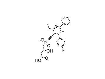 CCc1nc(-c2ccccc2)c(C)c(-c2ccc(F)cc2)c1C#CP(=O)(C[C@@H](O)CC(=O)O)OC